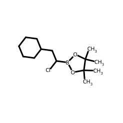 CC1(C)OB(C(Cl)CC2CCCCC2)OC1(C)C